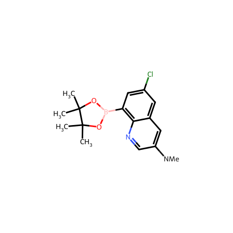 CNc1cnc2c(B3OC(C)(C)C(C)(C)O3)cc(Cl)cc2c1